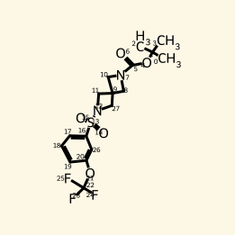 CC(C)(C)OC(=O)N1CC2(C1)CN(S(=O)(=O)c1cccc(OC(F)(F)F)c1)C2